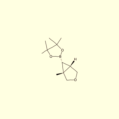 CC1(C)OB([C@@H]2[C@@H]3COC[C@]23C)OC1(C)C